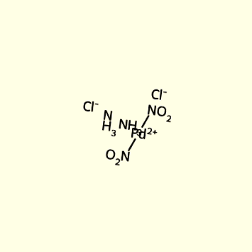 N.N.O=[N+]([O-])[Pd+2][N+](=O)[O-].[Cl-].[Cl-]